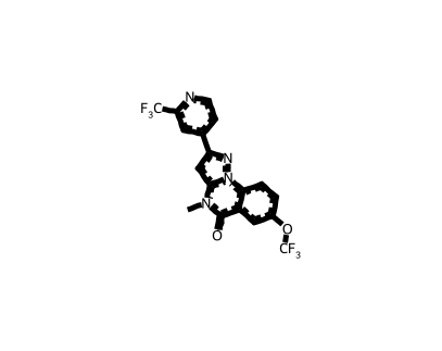 Cn1c(=O)c2cc(OC(F)(F)F)ccc2n2nc(-c3ccnc(C(F)(F)F)c3)cc12